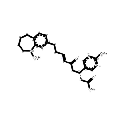 COC(=O)C[C@H](CC(=O)/C=C/CCc1ccc2c(n1)N(C(=O)O)CCCC2)c1cnc(OC)nc1